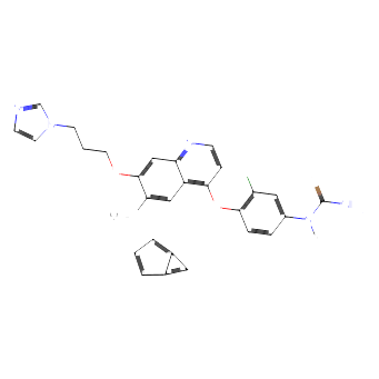 COc1cc2c(Oc3ccc(N(C(C)=O)C(N)=S)cc3F)ccnc2cc1OCCCn1ccnc1.c1cc2cc-2c1